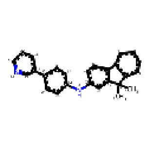 CC1(C)c2ccccc2-c2ccc(Nc3ccc(-c4cccnc4)cc3)cc21